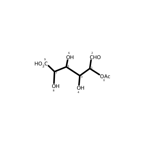 CC(=O)OC(C=O)C(O)C(O)C(O)C(=O)O